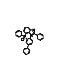 O=P1(c2ccccc2)c2cc(-c3ccccc3)ccc2-n2c(-c3ccccc3)nc3cccc1c32